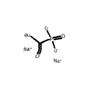 CCC(C)C(=O)P(=O)([O-])[O-].[Na+].[Na+]